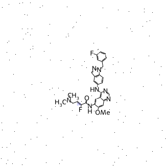 COc1cc2ncnc(Nc3ccc4c(cnn4Cc4cccc(F)c4)c3)c2cc1NC(=O)/C(F)=C/CN(C)C